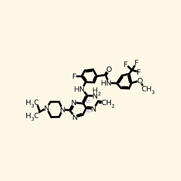 C=C/N=C1/C=NC(N2CCN(C(C)C)CC2)=N/C1=C(/N)Nc1cc(C(=O)Nc2ccc(OC)c(C(F)(F)F)c2)ccc1F